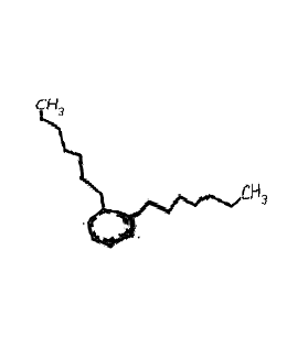 CCCCCCCc1[c]cc[c]c1CCCCCCC